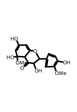 COc1cc(C2OC3=CC(O)=CC(O)(OC)C3C(=O)C2O)ccc1O